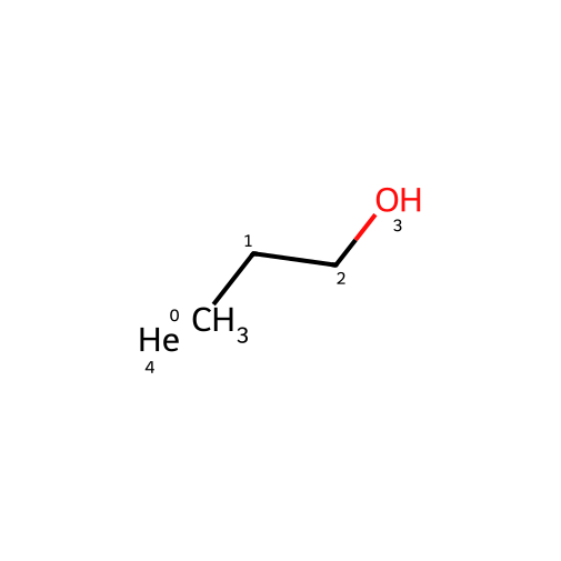 CCCO.[He]